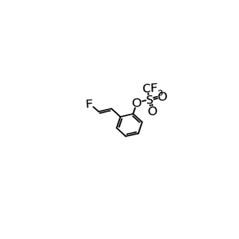 O=S(=O)(Oc1ccccc1C=CF)C(F)(F)F